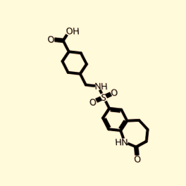 O=C1CCCc2cc(S(=O)(=O)NCC3CCC(C(=O)O)CC3)ccc2N1